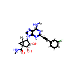 CNC(=O)[C@@]12C[C@@H]1[C@@H](n1cnc3c(NC)nc(C#Cc4cccc(Cl)c4)nc31)[C@H](O)[C@@H]2O